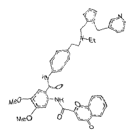 CCN(CCc1ccc(NC(=O)c2cc(OC)c(OC)cc2NC(=O)c2cc(=O)c3ccccc3o2)cc1)Cc1cccn1Cc1cccnc1